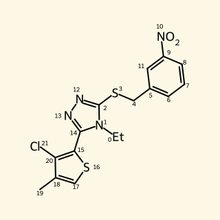 CCn1c(SCc2cccc([N+](=O)[O-])c2)nnc1-c1scc(C)c1Cl